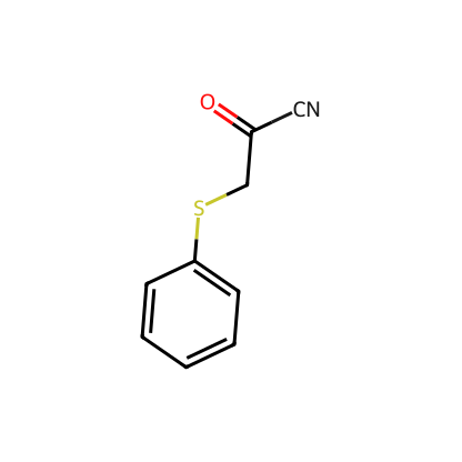 N#CC(=O)CSc1ccccc1